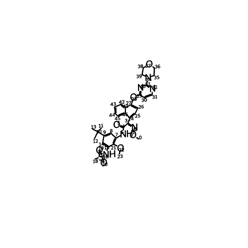 CO/N=C(\C(=O)Nc1cc(C(C)(C)C)cc(NS(C)(=O)=O)c1OC)c1ccc(Oc2ccnc(N3CCOCC3)n2)c2ccccc12